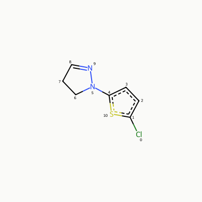 Clc1ccc(N2CCC=N2)s1